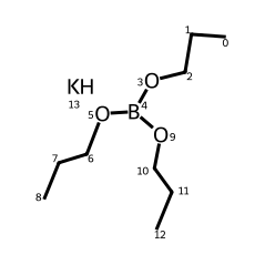 CCCOB(OCCC)OCCC.[KH]